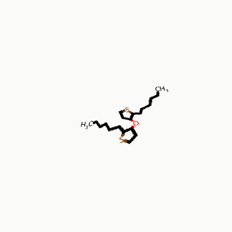 CCCCCCC1SCCC1OC1CCSC1CCCCCC